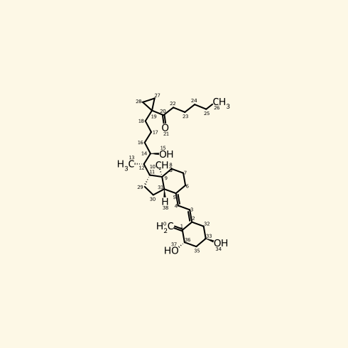 C=C1/C(=C\C=C2/CCC[C@]3(C)[C@@H]([C@H](C)[C@H](O)CCCC4(C(=O)CCCCC)CC4)CC[C@@H]23)C[C@@H](O)C[C@@H]1O